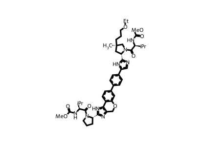 CCOCCC[C@]1(C)C[C@@H](c2ncc(-c3ccc(-c4ccc5c(c4)OCc4nc([C@@H]6CCCN6C(=O)[C@@H](NC(=O)OC)C(C)C)[nH]c4-5)cc3)[nH]2)N(C(=O)[C@@H](NC(=O)OC)C(C)C)C1